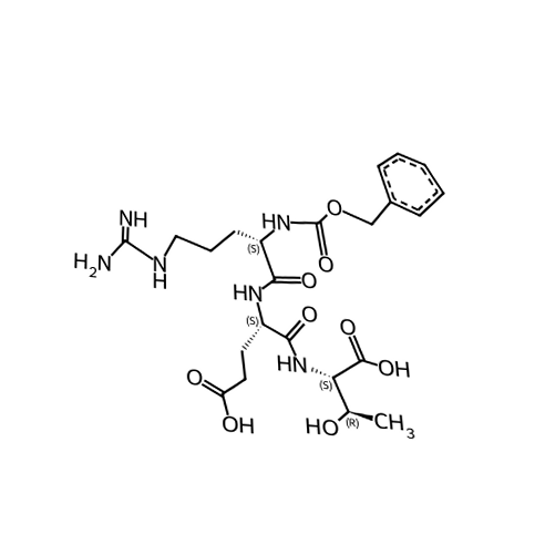 C[C@@H](O)[C@H](NC(=O)[C@H](CCC(=O)O)NC(=O)[C@H](CCCNC(=N)N)NC(=O)OCc1ccccc1)C(=O)O